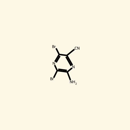 N#Cc1nc(N)c(Br)nc1Br